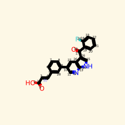 O=C(O)/C=C/c1cccc(-c2cnc3[nH]cc(C(=O)c4ccccc4F)c3c2)c1